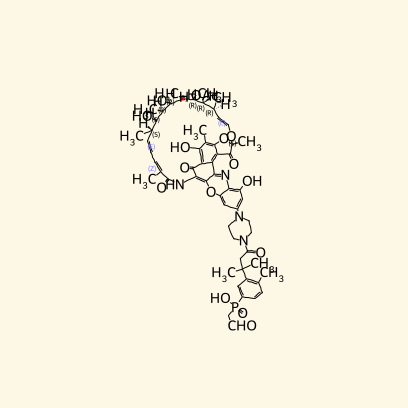 CC(=O)O[C@H]1[C@H](C)[C@H](O)[C@H](C)[C@@H](O)[C@@H](C)/C=C/C=C(/C)C(=O)Nc2c3oc4cc(N5CCN(C(=O)CC(C)(C)c6cc(P(=O)(O)CC=O)ccc6C)CC5)cc(O)c4nc-3c3c4c(c(C)c(O)c3c2=O)O[C@](C)(O/C=C/[C@H](C)[C@H]1C)C4=O